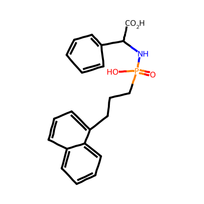 O=C(O)C(NP(=O)(O)CCCc1cccc2ccccc12)c1ccccc1